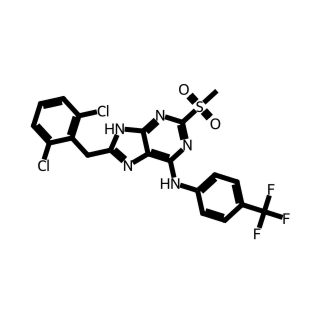 CS(=O)(=O)c1nc(Nc2ccc(C(F)(F)F)cc2)c2nc(Cc3c(Cl)cccc3Cl)[nH]c2n1